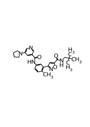 Cc1ccc(NC(=O)c2cncc(N3CCCC3)c2)cc1-c1cc(C(=O)NCC(C)(C)C)on1